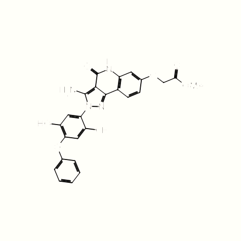 COC(=O)COc1ccc2c(c1)[nH]c(=O)c1c(N)n(-c3cc(O)c(Oc4ccccc4)cc3C)nc12